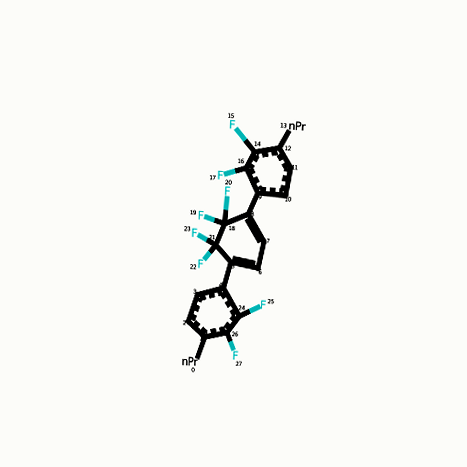 CCCc1ccc(C2=CC=C(c3ccc(CCC)c(F)c3F)C(F)(F)C2(F)F)c(F)c1F